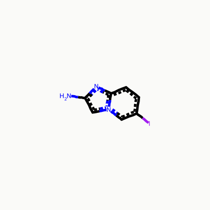 Nc1cn2cc(I)ccc2n1